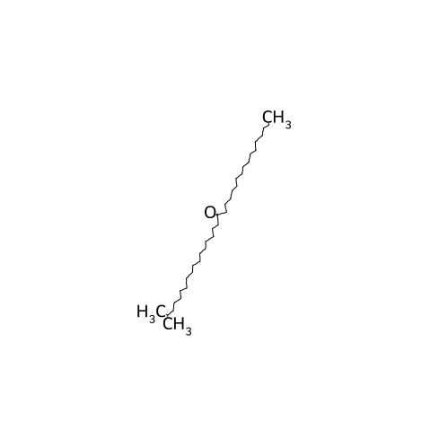 CCCCCCCCCCCCCCCCC(=O)CCCCCCCCCCCCCCCC(C)C